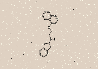 c1ccc2c(c1)CC(NCCOc1cccc3ccccc13)C2